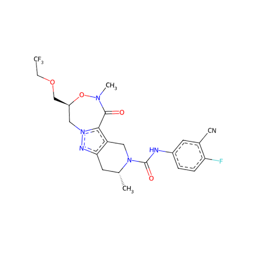 C[C@@H]1Cc2nn3c(c2CN1C(=O)Nc1ccc(F)c(C#N)c1)C(=O)N(C)O[C@H](COCC(F)(F)F)C3